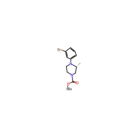 C[C@@H]1CN(C(=O)OC(C)(C)C)CCN1c1cccc(Br)c1